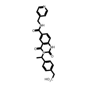 CC(c1ccc(CC(=O)O)cc1)n1c(=O)[nH]c2ccc(C(=O)NCc3ccncc3)cc2c1=O